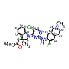 COC(=O)CC1(C)CN(c2nc(Nc3cc4c(cc3F)CCN(C)C4)ncc2Cl)c2ccccc21